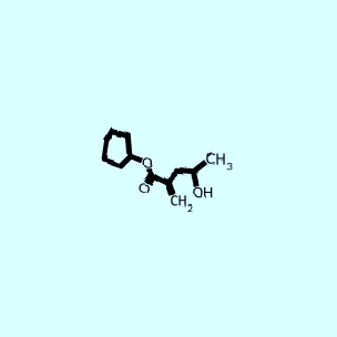 C=C(CC(C)O)C(=O)OC1CCCCC1